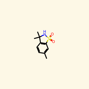 Cc1ccc2c(c1)S(=O)(=O)NC2(C)C